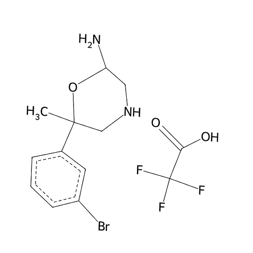 CC1(c2cccc(Br)c2)CNCC(N)O1.O=C(O)C(F)(F)F